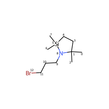 CC1(C)CC[Si](C)(C)N1CCCBr